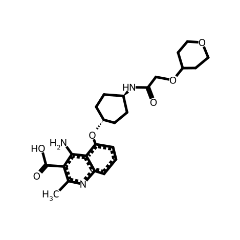 Cc1nc2cccc(O[C@H]3CC[C@H](NC(=O)COC4CCOCC4)CC3)c2c(N)c1C(=O)O